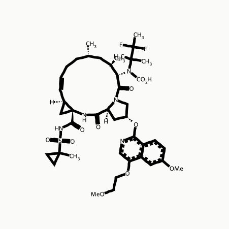 COCCOc1cnc(O[C@@H]2C[C@H]3C(=O)N[C@]4(C(=O)NS(=O)(=O)C5(C)CC5)C[C@H]4C=CCC[C@H](C)C[C@@H](C)[C@H](N(C(=O)O)C(C)(C)C(C)(F)F)C(=O)N3C2)c2ccc(OC)cc12